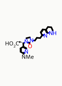 CNc1ccc([C@H](CC(=O)O)N2CCN(CCCc3ccc4c(n3)NCCC4)C2=O)cn1